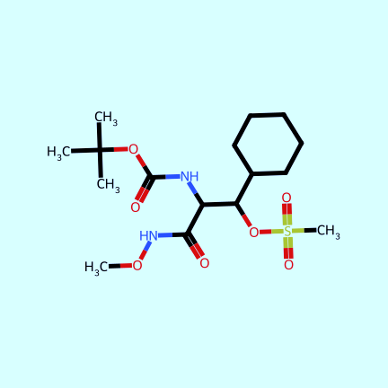 CONC(=O)C(NC(=O)OC(C)(C)C)C(OS(C)(=O)=O)C1CCCCC1